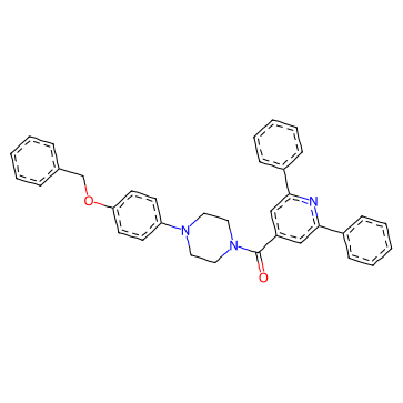 O=C(c1cc(-c2ccccc2)nc(-c2ccccc2)c1)N1CCN(c2ccc(OCc3ccccc3)cc2)CC1